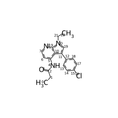 CCC(=O)Nc1ccnc2c1c(-c1ccc(Cl)cc1)cn2CC